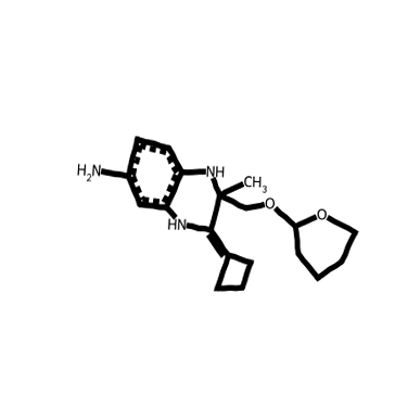 CC1(COC2CCCCO2)Nc2ccc(N)cc2NC1=C1CCC1